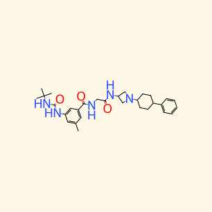 Cc1cc(NC(=O)NC(C)(C)C)cc(C(=O)NCC(=O)NC2CN(C3CCC(c4ccccc4)CC3)C2)c1